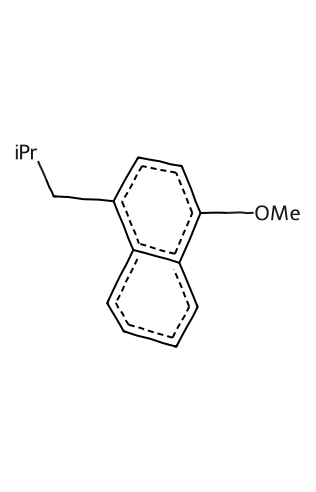 COc1ccc(CC(C)C)c2ccccc12